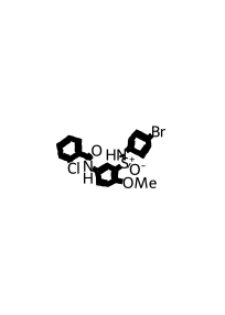 COc1ccc(NC(=O)c2ccccc2Cl)cc1[S+]([O-])Nc1ccc(Br)cc1